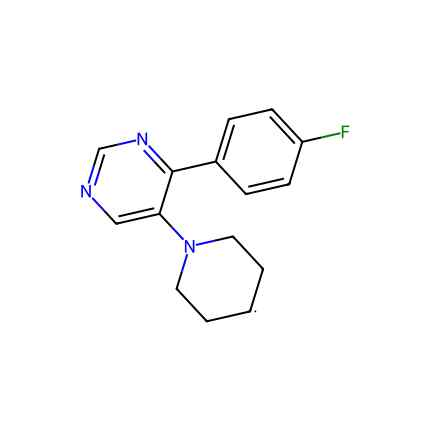 Fc1ccc(-c2ncncc2N2CC[CH]CC2)cc1